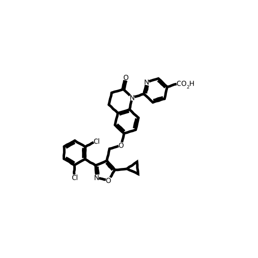 O=C(O)c1ccc(N2C(=O)CCc3cc(OCc4c(-c5c(Cl)cccc5Cl)noc4C4CC4)ccc32)nc1